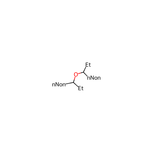 CCCCCCCCCC(CC)OC(CC)CCCCCCCCC